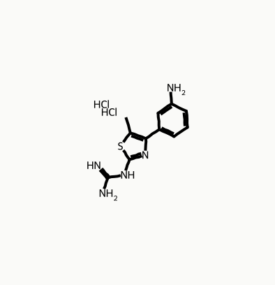 Cc1sc(NC(=N)N)nc1-c1cccc(N)c1.Cl.Cl